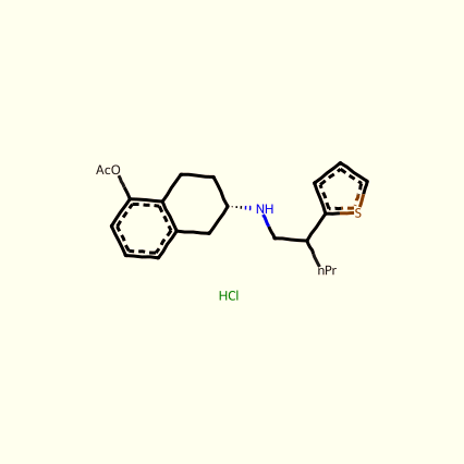 CCCC(CN[C@H]1CCc2c(cccc2OC(C)=O)C1)c1cccs1.Cl